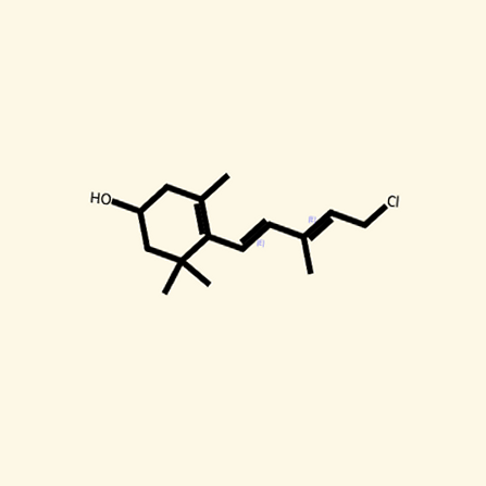 CC1=C(/C=C/C(C)=C/CCl)C(C)(C)CC(O)C1